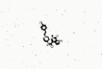 CN(C(=O)c1cn(C)c(=O)c2[nH]ccc12)C1CCN(CCc2ccc(Cl)cc2)CC1